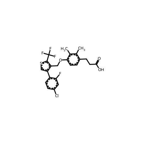 Cc1c(CCC(=O)O)ccc(OCc2c(-c3ccc(Cl)cc3F)csc2C(F)(F)F)c1C